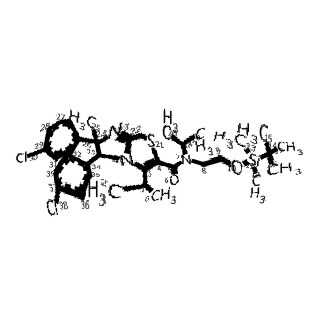 CC(C)C1=C(C(=O)N(CCO[Si](C)(C)C(C)(C)C)C(C)C)SC2=NC(C)(c3ccc(Cl)cc3)C(c3ccc(Cl)cc3)N21